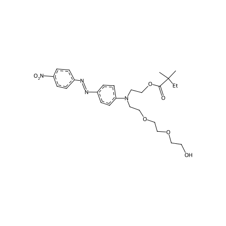 CCC(C)(C)C(=O)OCCN(CCOCCOCCO)c1ccc(/N=N/c2ccc([N+](=O)[O-])cc2)cc1